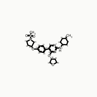 CC1CCC(Nc2ncc(-c3ccc(OC4CCN(S(C)(=O)=O)C4)cc3)c(O[C@@H]3CCOC3)n2)CC1